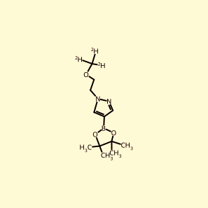 [2H]C([2H])([2H])OCCn1cc(B2OC(C)(C)C(C)(C)O2)cn1